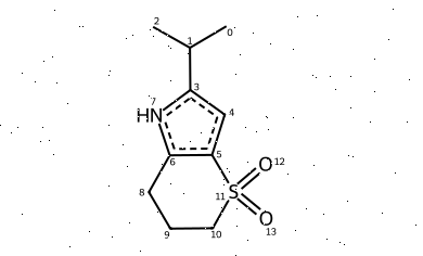 CC(C)c1cc2c([nH]1)CCCS2(=O)=O